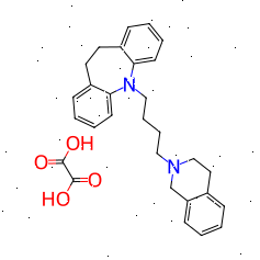 O=C(O)C(=O)O.c1ccc2c(c1)CCN(CCCCN1c3ccccc3CCc3ccccc31)C2